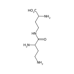 NCCC(N)C(=O)NCCC(N)C(=O)O